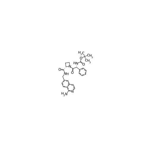 CC(C)(C)OC(=O)N[C@@H](C(=O)N1CC[C@H]1C(=O)NCc1ccc2c(N)nccc2c1)c1ccccc1